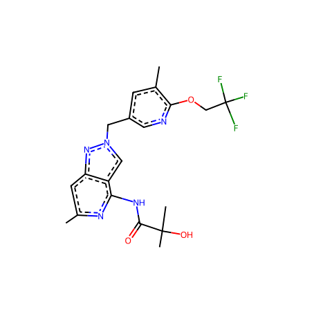 Cc1cc2nn(Cc3cnc(OCC(F)(F)F)c(C)c3)cc2c(NC(=O)C(C)(C)O)n1